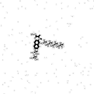 COC(=O)C(C)[S+](C)c1ccc2ccccc2c1.O=P(O)(O)F.O=P(O)(O)F.O=P(O)(O)F.O=P(O)(O)F.O=P(O)(O)F.O=P([O-])(O)F